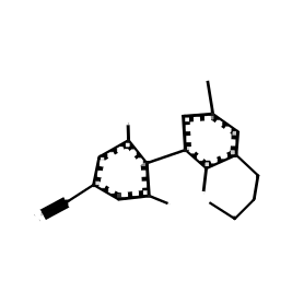 N#Cc1cc(Cl)c(-c2cc(F)cc3c2OCCC3)c(Cl)c1